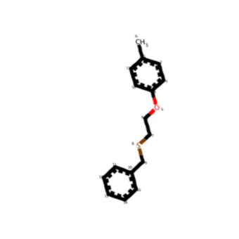 Cc1ccc(OCCSCc2ccccc2)cc1